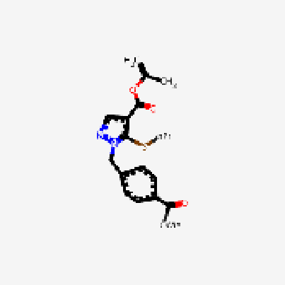 C=C(C)OC(=O)c1cnn(Cc2ccc(C(=O)OC)cc2)c1SCCC